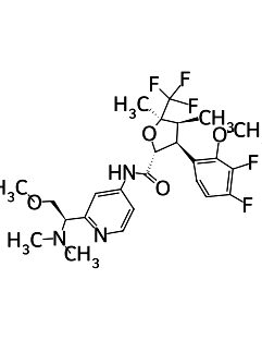 COC[C@@H](c1cc(NC(=O)[C@@H]2O[C@@](C)(C(F)(F)F)[C@@H](C)[C@H]2c2ccc(F)c(F)c2OC)ccn1)N(C)C